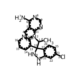 CC(n1ncc2c(N)ncnc21)C1(c2cccnc2)NNc2cc(Cl)ccc21